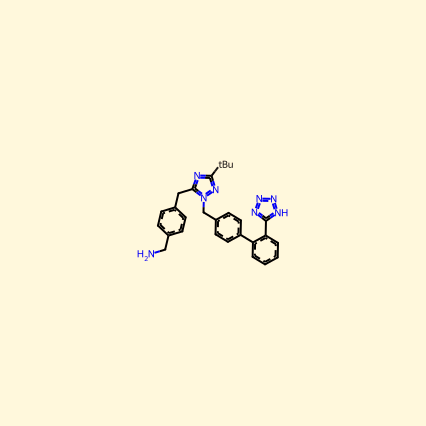 CC(C)(C)c1nc(Cc2ccc(CN)cc2)n(Cc2ccc(-c3ccccc3-c3nnn[nH]3)cc2)n1